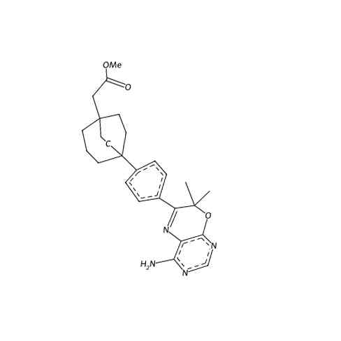 COC(=O)CC12CCCC(c3ccc(C4=Nc5c(N)ncnc5OC4(C)C)cc3)(CC1)CC2